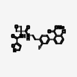 COC(=O)c1c(Cl)cccc1-c1ccc(CCNC(=O)C2(NC(=O)c3ccno3)COC2)c(F)c1